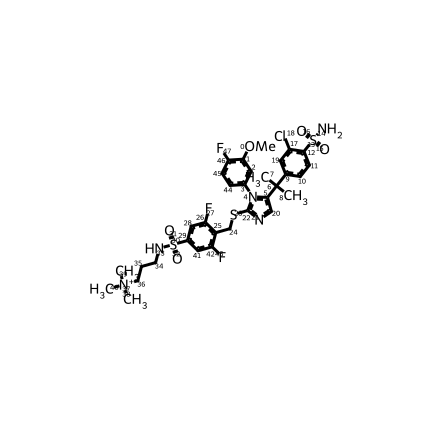 COc1cc(-n2c(C(C)(C)c3ccc(S(N)(=O)=O)c(Cl)c3)cnc2SCc2c(F)cc(S(=O)(=O)NCCC[N+](C)(C)C)cc2F)ccc1F